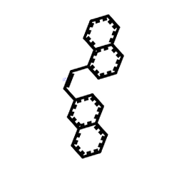 C(=C/c1cccc2ccccc12)/c1ccc2ccccc2c1